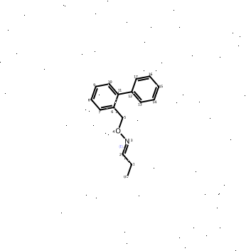 CC/[C]=N/OCc1ccccc1-c1ccccc1